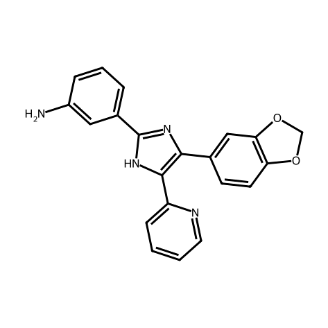 Nc1cccc(-c2nc(-c3ccc4c(c3)OCO4)c(-c3ccccn3)[nH]2)c1